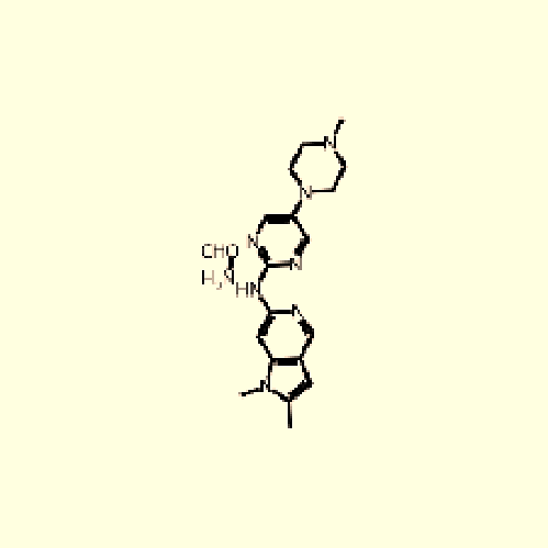 Cc1cc2cnc(Nc3ncc(N4CCN(C)CC4)cn3)cc2n1C.NC=O